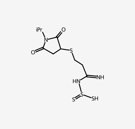 CC(C)N1C(=O)CC(SCCC(=N)NS(=S)S)C1=O